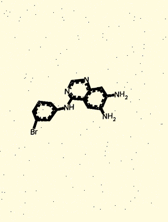 Nc1cc2ncnc(Nc3cccc(Br)c3)c2cc1N